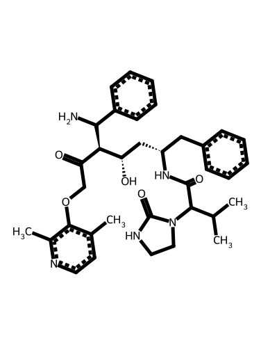 Cc1ccnc(C)c1OCC(=O)[C@@H](C(N)c1ccccc1)[C@@H](O)C[C@H](Cc1ccccc1)NC(=O)C(C(C)C)N1CCNC1=O